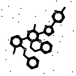 Cc1ccc(-c2ccc(-c3c(C)nc(-c4cccc(F)c4OCc4ccccc4)n(CCc4ccccc4)c3=O)s2)cn1